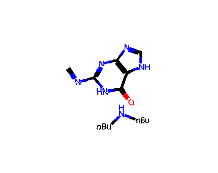 C=Nc1nc2nc[nH]c2c(=O)[nH]1.CCCCNCCCC